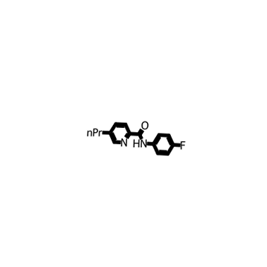 CCCc1ccc(C(=O)Nc2ccc(F)cc2)nc1